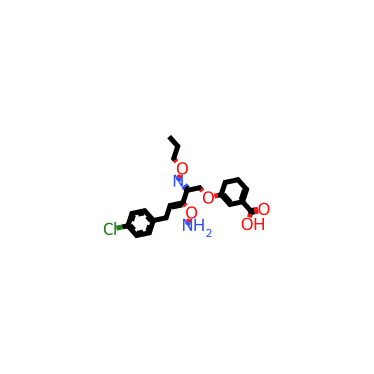 CCCO/N=C(COC1=CC(C(=O)O)=CCC1)/C(=C/Cc1ccc(Cl)cc1)ON